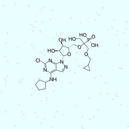 O=P(O)(O)C(CO)(COCC1CC1)OC[C@@H]1O[C@H](n2ncc3c(NC4CCCC4)nc(Cl)nc32)[C@@H](O)[C@H]1O